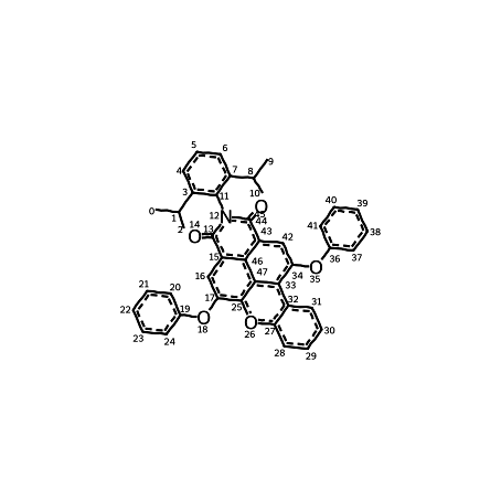 CC(C)c1cccc(C(C)C)c1-n1c(=O)c2cc(Oc3ccccc3)c3oc4ccccc4c4c(Oc5ccccc5)cc(c1=O)c2c34